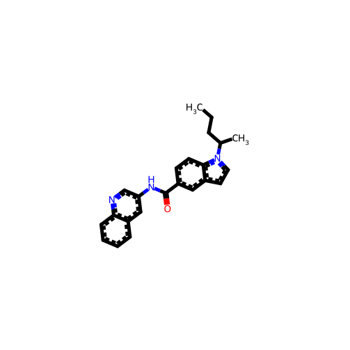 CCCC(C)n1ccc2cc(C(=O)Nc3cnc4ccccc4c3)ccc21